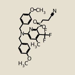 COc1ccc(CN(Cc2ccc(OC)cc2)c2cc(C)c(C(F)(F)F)c(S(=O)(=O)CCC#N)n2)cc1